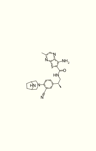 Cc1cnc2c(N)c(C(=O)NC[C@@H](C)c3ccc(N4CC5CCC(C4)N5)c(C#N)c3)sc2n1